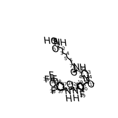 O=C(CCCCCCNC(=O)[C@H]1CCCN(C(=O)c2ccc(NC(=O)Nc3ccc(OC(F)(F)F)c(F)c3)c(F)c2)C1)NO